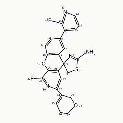 NC1=NC2(CS1)c1cc(-c3cccnc3F)ccc1Oc1c2cc(C2=CCCOC2)nc1F